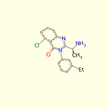 CCc1cccc(-n2c([C@H](C)N)nc3cccc(Cl)c3c2=O)c1